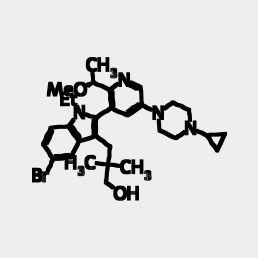 CCn1c(-c2cc(N3CCN(C4CC4)CC3)cnc2[C@H](C)OC)c(CC(C)(C)CO)c2cc(Br)ccc21